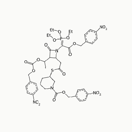 CCOP(OCC)(OCC)=C(C(=O)OCc1ccc([N+](=O)[O-])cc1)N1C(=O)C(C(C)OC(=O)OCc2ccc([N+](=O)[O-])cc2)C1CC(=O)SC1CCCN(C(=O)OCc2ccc([N+](=O)[O-])cc2)C1